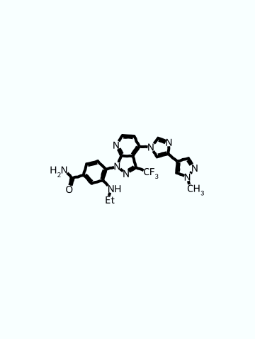 CCNc1cc(C(N)=O)ccc1-n1nc(C(F)(F)F)c2c(-n3cnc(-c4cnn(C)c4)c3)ccnc21